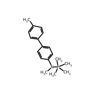 Cc1ccc(-c2ccc(N(C)P(C)(C)(C)C)cc2)cc1